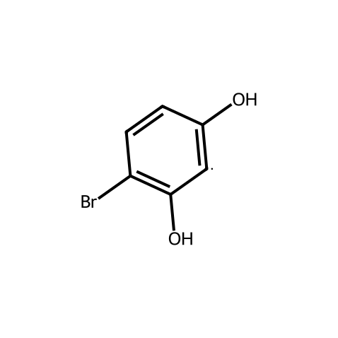 Oc1[c]c(O)c(Br)cc1